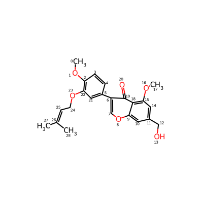 COc1ccc(-c2coc3cc(CO)cc(OC)c3c2=O)cc1OCC=C(C)C